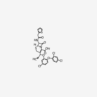 C#CC(Oc1cc(Cl)ccc1Oc1ccc(Cl)cc1Cl)C1=C(C(=O)O)N2C(=O)C(NC(=O)Cc3cccs3)[C@@H]2SC1